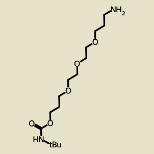 CC(C)(C)NC(=O)OCCCOCCOCCOCCCN